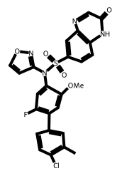 COc1cc(-c2ccc(Cl)c(C)c2)c(F)cc1N(c1ccon1)S(=O)(=O)c1ccc2[nH]c(=O)cnc2c1